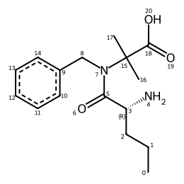 CCC[C@@H](N)C(=O)N(Cc1ccccc1)C(C)(C)C(=O)O